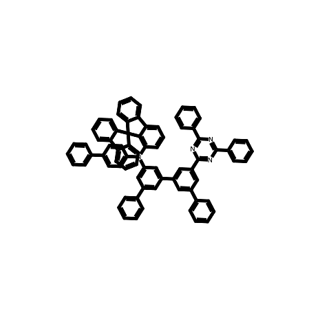 c1ccc(-c2ccc(N(c3cc(-c4ccccc4)cc(-c4cc(-c5ccccc5)cc(-c5nc(-c6ccccc6)nc(-c6ccccc6)n5)c4)c3)c3cccc4c3C3(c5ccccc5-c5ccccc53)c3ccccc3-4)cc2)cc1